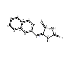 O=C1NC(=O)/C(=C\c2ccc3ccccc3c2)N1